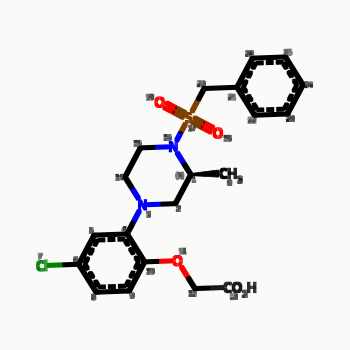 C[C@H]1CN(c2cc(Cl)ccc2OCC(=O)O)CCN1S(=O)(=O)Cc1ccccc1